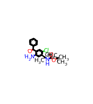 CC(C)(C)OC(=O)NC(C)(C)c1cc(N)c(C(=O)c2ccccc2)cc1Cl